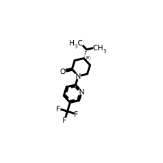 CC(C)[C@@H]1CCN(c2ccc(C(F)(F)F)cn2)C(=O)C1